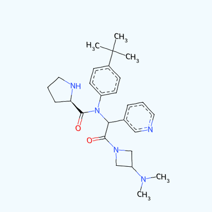 CN(C)C1CN(C(=O)C(c2cccnc2)N(C(=O)[C@H]2CCCN2)c2ccc(C(C)(C)C)cc2)C1